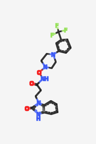 O=C(CCn1c(=O)[nH]c2ccccc21)NON1CCN(c2cccc(C(F)(F)F)c2)CC1